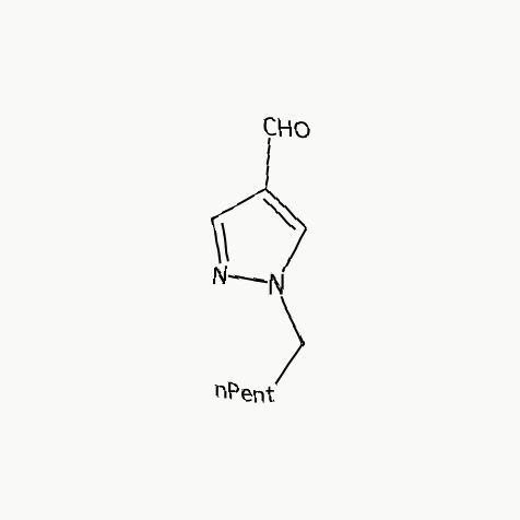 CCCCCCn1cc(C=O)cn1